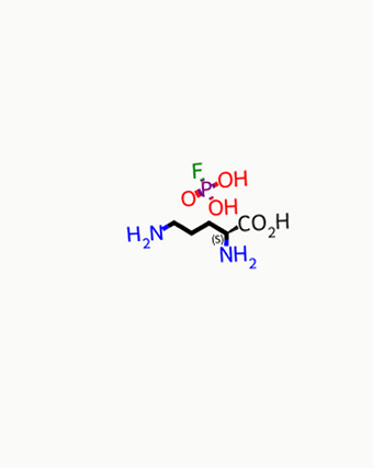 NCCC[C@H](N)C(=O)O.O=P(O)(O)F